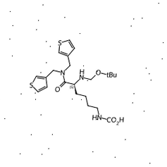 CC(C)(C)OCN[C@@H](CCCCNC(=O)O)C(=O)N(Cc1ccsc1)Cc1ccsc1